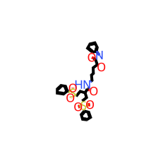 O=C(CCCCNC(=O)C(CCS(=O)(=O)c1ccccc1)CCS(=O)(=O)c1ccccc1)c1nc2ccccc2o1